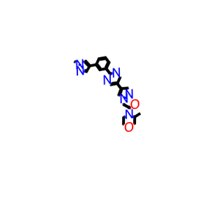 CC1COCCN1C(=O)Cn1cc(-c2cnc(-c3cccc(-c4cnn(C)c4)c3)nc2)cn1